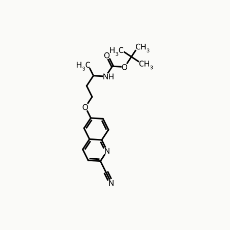 CC(CCOc1ccc2nc(C#N)ccc2c1)NC(=O)OC(C)(C)C